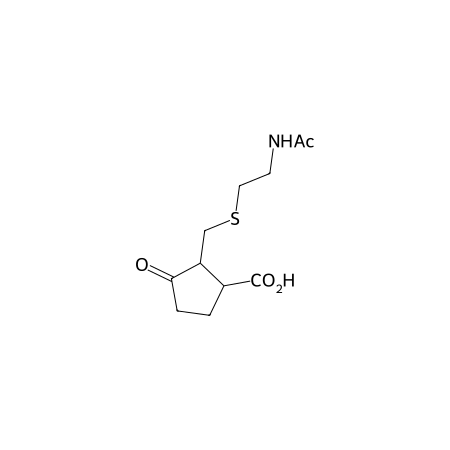 CC(=O)NCCSCC1C(=O)CCC1C(=O)O